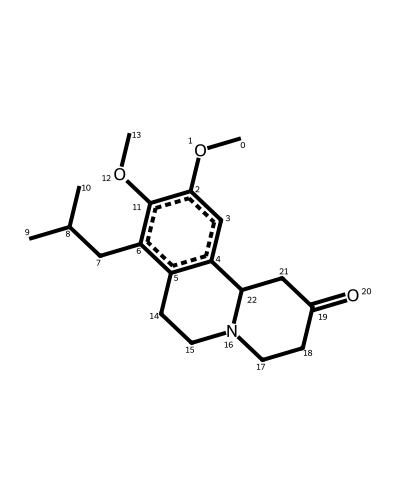 COc1cc2c(c(CC(C)C)c1OC)CCN1CCC(=O)CC21